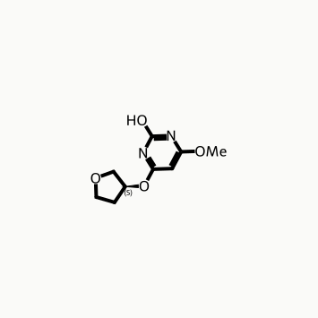 COc1cc(O[C@H]2CCOC2)nc(O)n1